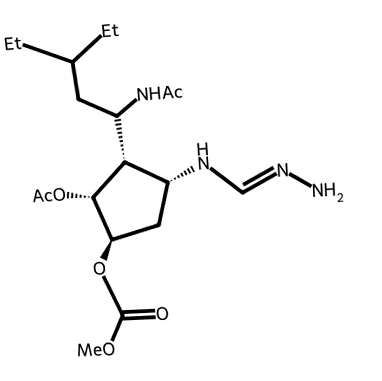 CCC(CC)CC(NC(C)=O)[C@H]1[C@@H](OC(C)=O)[C@H](OC(=O)OC)C[C@H]1N/C=N/N